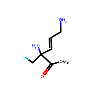 COC(=O)C(N)(C=CCN)CF